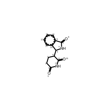 O=C1CCC(C2NC(=O)c3ccccc32)C(=O)N1